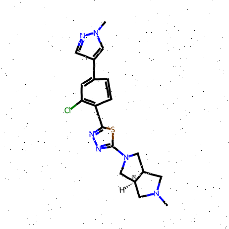 CN1CC2CN(c3nnc(-c4ccc(-c5cnn(C)c5)cc4Cl)s3)C[C@@H]2C1